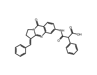 O=C(O)C(C(=O)Nc1ccc2c(=O)n3c(nc2c1)C(=Cc1ccccc1)CC3)c1ccccc1